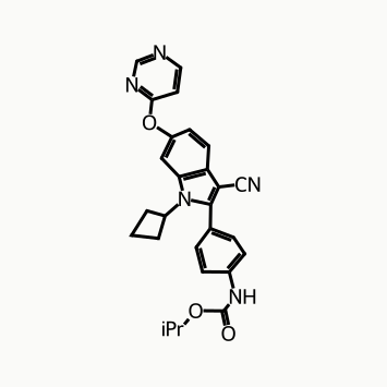 CC(C)OC(=O)Nc1ccc(-c2c(C#N)c3ccc(Oc4ccncn4)cc3n2C2CCC2)cc1